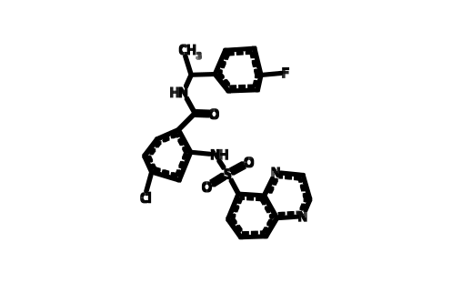 CC(NC(=O)c1ccc(Cl)cc1NS(=O)(=O)c1cccc2nccnc12)c1ccc(F)cc1